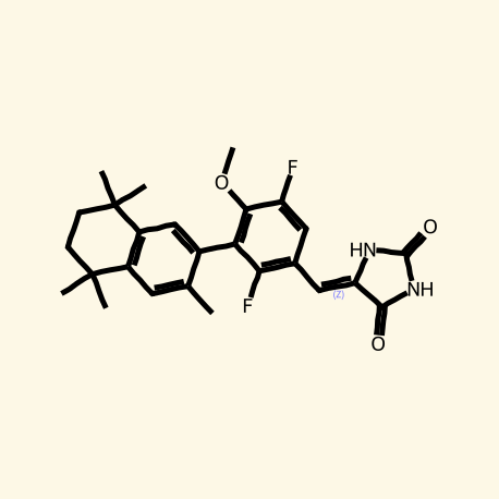 COc1c(F)cc(/C=C2\NC(=O)NC2=O)c(F)c1-c1cc2c(cc1C)C(C)(C)CCC2(C)C